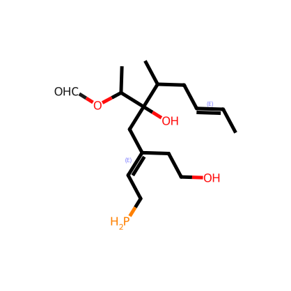 C/C=C/CC(C)C(O)(C/C(=C/CP)CCO)C(C)OC=O